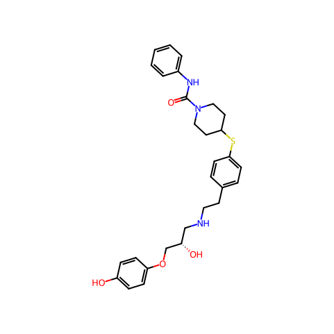 O=C(Nc1ccccc1)N1CCC(Sc2ccc(CCNC[C@H](O)COc3ccc(O)cc3)cc2)CC1